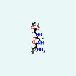 CC(C)C[C@H](N)C(=O)N[C@@H](C)C(=O)NCC(=O)OC(C)(C)C